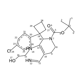 CC(C)(C)OC(=O)N1CCC(C=N)=C(NCCO)C1C1(c2ccc(Cl)cc2)CCC1